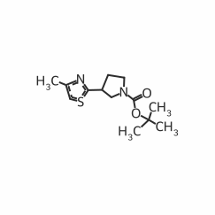 Cc1csc(C2CCN(C(=O)OC(C)(C)C)C2)n1